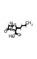 C=CCC=C1S[C@@H]2CC(=O)N2C1C(=O)O